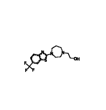 OCCN1CCCN(c2nc3ccc(C(F)(F)F)cc3s2)CC1